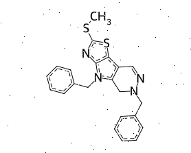 CSc1nc2c(s1)c1c(n2Cc2ccccc2)CN(Cc2ccccc2)N=C1